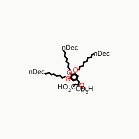 CCCCCCCCCCCCCCCCCCOc1cc(CC(CC(=O)O)(OCC)C(=O)O)cc(OCCCCCCCCCCCCCCCCCC)c1OCCCCCCCCCCCCCCCCCC